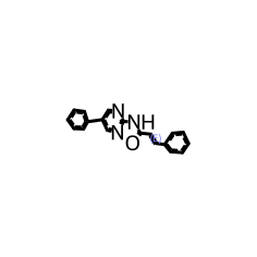 O=C(/C=C/c1ccccc1)Nc1ncc(-c2ccccc2)cn1